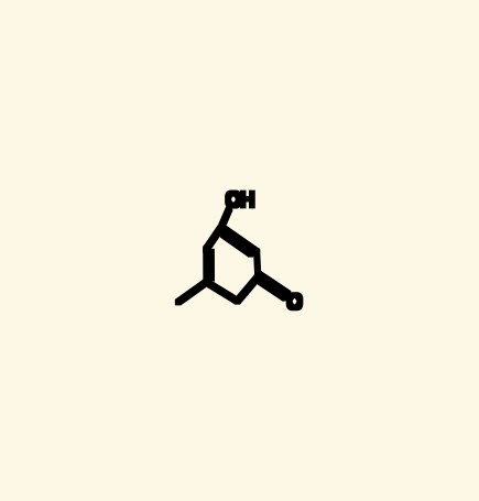 CC1=CC(O)=CC(=O)C1